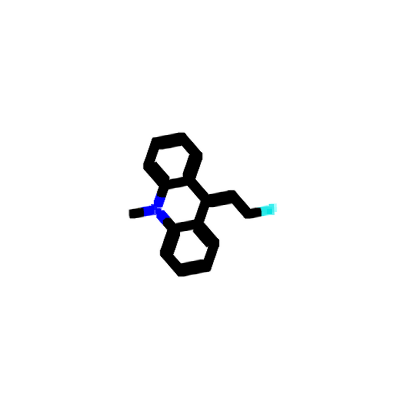 CN1c2ccccc2C(=CCF)c2ccccc21